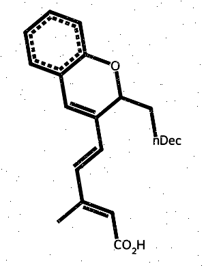 CCCCCCCCCCCC1Oc2ccccc2C=C1C=CC(C)=CC(=O)O